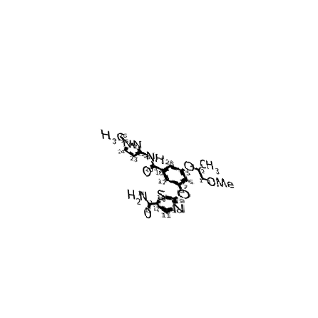 COC[C@H](C)Oc1cc(Oc2ncc(C(N)=O)s2)cc(C(=O)Nc2ccn(C)n2)c1